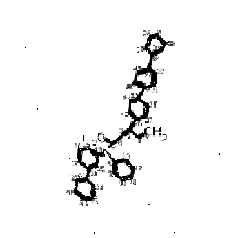 C=C/C(=C\CC(C)N(c1ccccc1)c1cccc(-c2ccccc2)c1)c1ccc(-c2ccc(-c3ccccc3)cc2)cc1